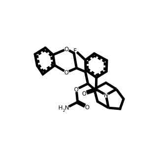 NC(=O)OC(CC1COc2ccccc2O1)C1CC2CCC(C1)N2C(=O)c1cccc(F)c1